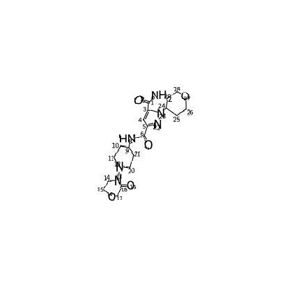 NC(=O)c1cc(C(=O)NC2CCN(N3CCOCC3=O)CC2)nn1C1CCOCC1